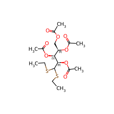 CCSC(SCC)[C@H](OC(C)=O)[C@@H](OC(C)=O)[C@@H](COC(C)=O)OC(C)=O